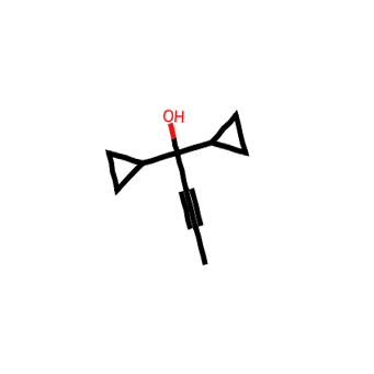 CC#CC(O)(C1CC1)C1CC1